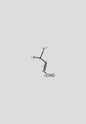 O=C/C=C/C(F)F